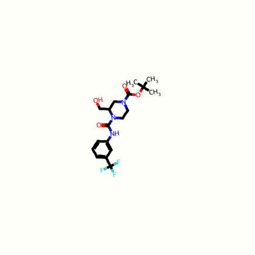 CC(C)(C)OC(=O)N1CCN(C(=O)Nc2cccc(C(F)(F)F)c2)C(CO)C1